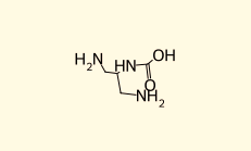 NCC(CN)NC(=O)O